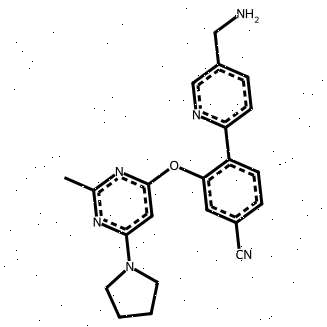 Cc1nc(Oc2cc(C#N)ccc2-c2ccc(CN)cn2)cc(N2CCCC2)n1